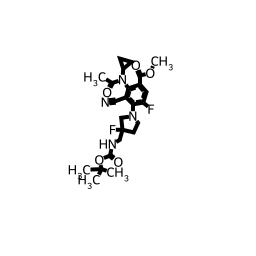 COC(=O)c1cc(F)c(N2CCC(F)(CNC(=O)OC(C)(C)C)C2)c(C#N)c1N(C(C)=O)C1CC1